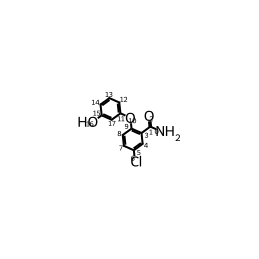 NC(=O)c1cc(Cl)ccc1Oc1cccc(O)c1